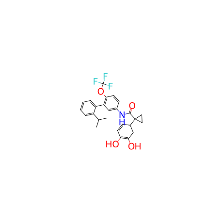 CC(C)c1ccccc1-c1cc(NC(=O)C2(C3C=CC(O)=C(O)C3)CC2)ccc1OC(F)(F)F